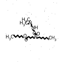 CCCCCCCCN(CCCCC(=O)OCCCCCCC)C(=O)OCCNCCN(CC)CC